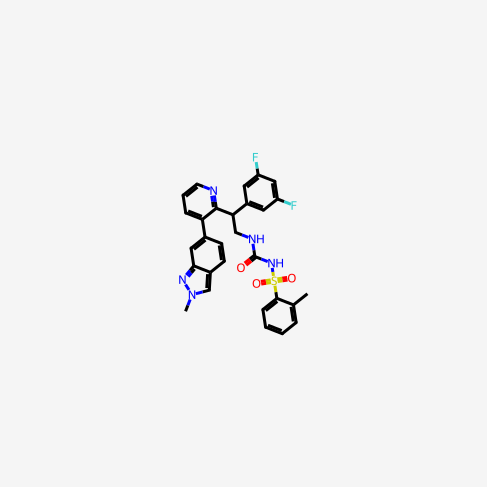 Cc1ccccc1S(=O)(=O)NC(=O)NCC(c1cc(F)cc(F)c1)c1ncccc1-c1ccc2cn(C)nc2c1